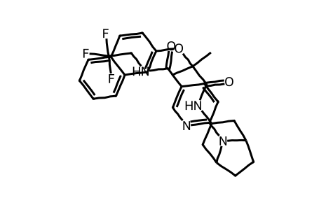 CC(C)(Oc1ccc2ccccc2c1)C(=O)NC1CC2CCC(C1)N2c1ccc(C(=O)NCC(F)(F)F)cn1